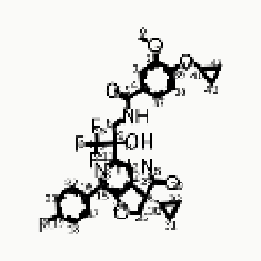 COc1cc(C(=O)NC[C@](O)(c2cc3c(c(-c4ccc(F)cc4)n2)OC[C@@]3(C(N)=O)C2CC2)C(F)(F)F)ccc1OC1CC1